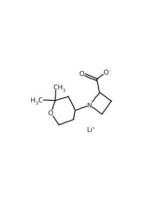 CC1(C)CC(N2CCC2C(=O)[O-])CCO1.[Li+]